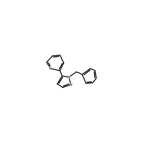 c1ccc(Cn2nccc2-c2ccccn2)cc1